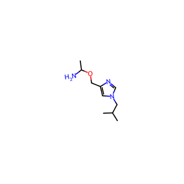 CC(C)Cn1cnc(COC(C)N)c1